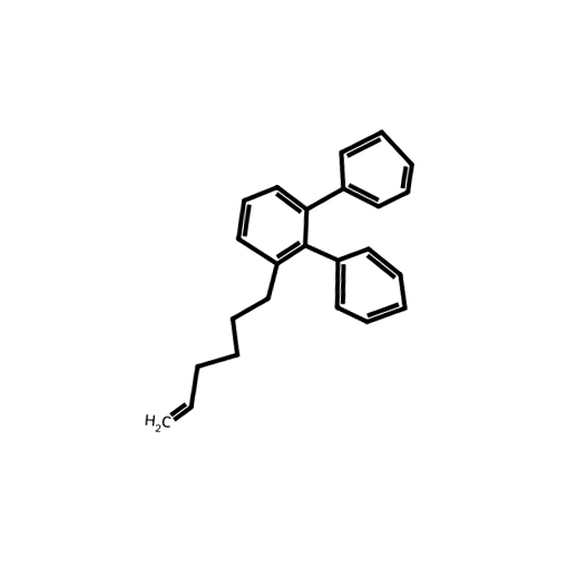 C=CCCCCc1cccc(-c2ccccc2)c1-c1ccccc1